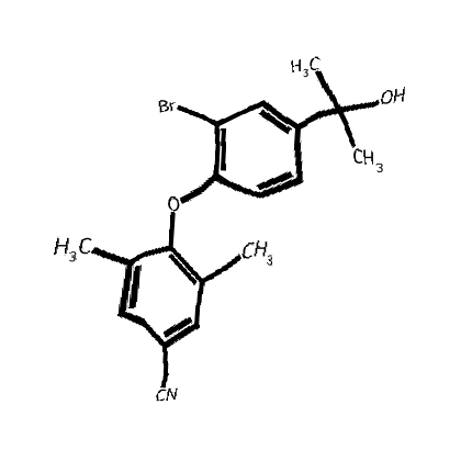 Cc1cc(C#N)cc(C)c1Oc1ccc(C(C)(C)O)cc1Br